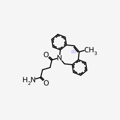 C/C1=C/c2ccccc2N(C(=O)CCC(N)=O)Cc2ccccc21